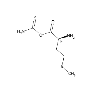 CSCC[C@H](N)C(=O)OC(N)=S